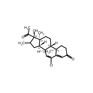 CC(=O)[C@@]1(O)C(C)C[C@H]2[C@@H]3C=C(Cl)C4=CC(=O)CC[C@]4(C)[C@H]3CC[C@@]21C